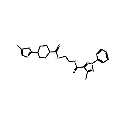 Cc1nnc(C2CCC(C(=O)NCCNC(=O)c3cn(-c4ccccc4)nc3C(F)(F)F)CC2)o1